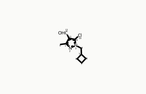 Cc1nn(CC2CCC2)c(Cl)c1C=O